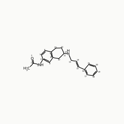 CC(=O)Nc1ccc2c(c1)CC(NCC=Cc1ccccc1)CC2